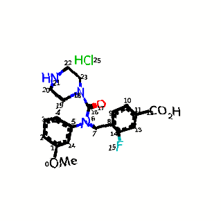 COc1cccc(N(Cc2ccc(C(=O)O)cc2F)C(=O)N2CCNCC2)c1.Cl